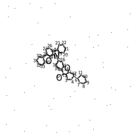 O=c1c2ccc(-c3ccccc3)cc2oc2cc(-n3c4ccccc4c4ccc5c6ccccc6oc5c43)ccc12